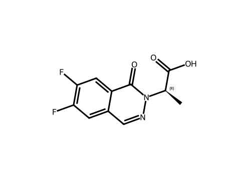 C[C@H](C(=O)O)n1ncc2cc(F)c(F)cc2c1=O